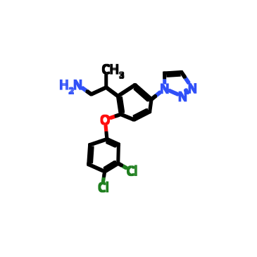 CC(CN)c1cc(-n2ccnn2)ccc1Oc1ccc(Cl)c(Cl)c1